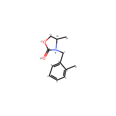 Cc1ccccc1CN1C(=O)OCC1C